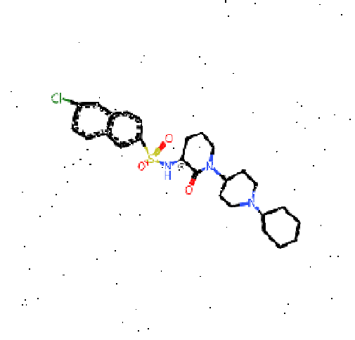 O=C1[C@@H](NS(=O)(=O)c2ccc3cc(Cl)ccc3c2)CCCN1C1CCN(C2CCCCC2)CC1